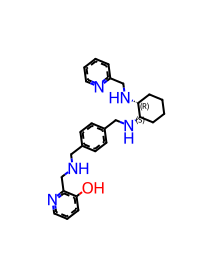 Oc1cccnc1CNCc1ccc(CN[C@H]2CCCC[C@H]2NCc2ccccn2)cc1